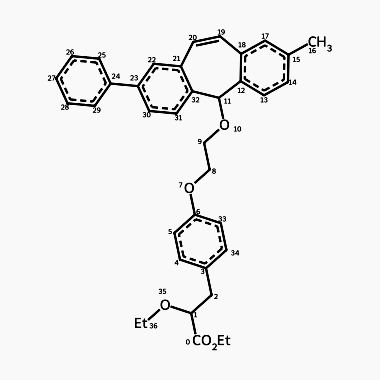 CCOC(=O)C(Cc1ccc(OCCOC2c3ccc(C)cc3C=Cc3cc(-c4ccccc4)ccc32)cc1)OCC